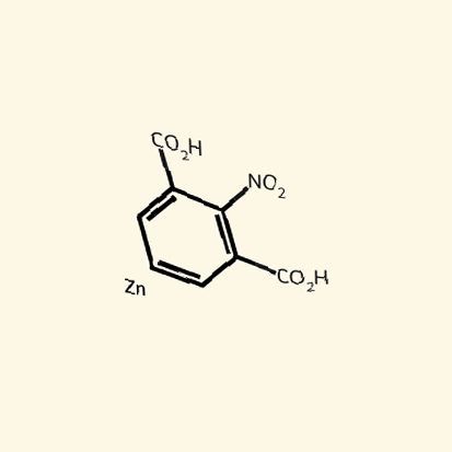 O=C(O)c1cccc(C(=O)O)c1[N+](=O)[O-].[Zn]